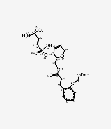 CCCCCCCCCCCOc1ccccc1CCC(=O)OC[C@@H]1OCC=C[C@H]1OP(=O)(O)OC[C@H](N)C(=O)O